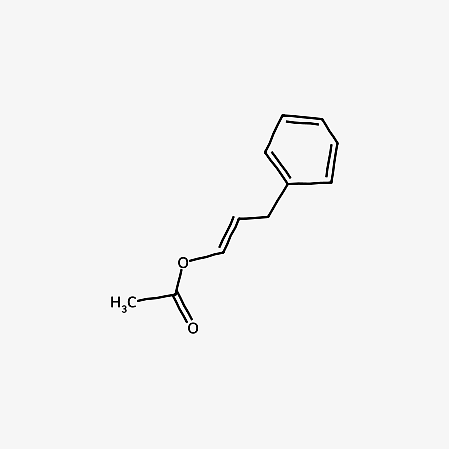 CC(=O)OC=CCc1ccccc1